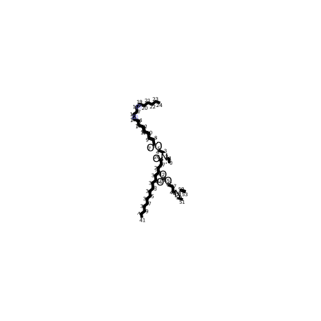 [CH2]CN(CCOC(=O)CCCCCCC/C=C\C/C=C\CCCCC)C(=O)CCC(CCCCCCCCCCCC)OC(=O)OCCCN(CC)CC